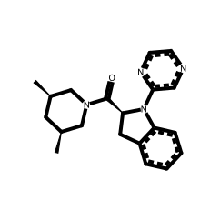 C[C@@H]1C[C@H](C)CN(C(=O)[C@@H]2Cc3ccccc3N2c2cnccn2)C1